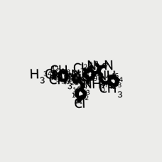 C[C@@H](CNc1c(C#N)cnc2c(Cl)cc(N[C@@H](c3ccc(Cl)cc3)c3cn(C4CCN(C(C)(C)C)CC4)nn3)cc12)c1ccccc1